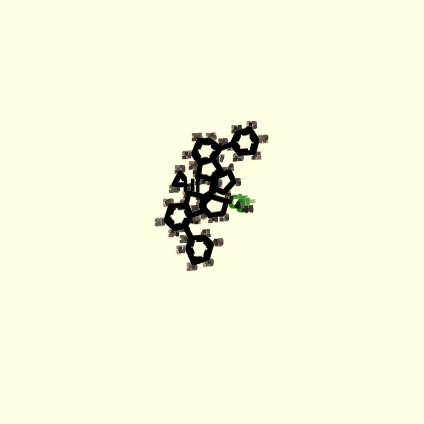 C1=C(C2CCCC2)[CH]([Hf+2]2([CH]3C(C4CCCC4)=Cc4c(-c5ccccc5)cccc43)[CH2][CH2]2)c2cccc(-c3ccccc3)c21.[Cl-].[Cl-]